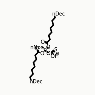 CCCCCCCCCCCCCCCCCC(=O)O[Si](CCCCCCCCC)(OC)OC(=O)CCCCCCCCCCCCCCCCC.OC=S